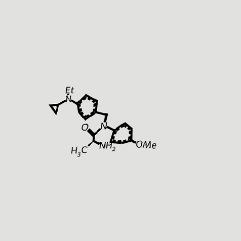 CCN(c1ccc(CN(C(=O)[C@H](C)N)c2ccc(OC)cc2)cc1)C1CC1